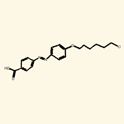 O=C(O)c1ccc(N=Nc2ccc(OCCCCCCCl)cc2)cc1